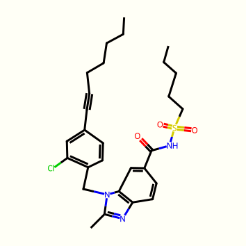 CCCCCC#Cc1ccc(Cn2c(C)nc3ccc(C(=O)NS(=O)(=O)CCCCC)cc32)c(Cl)c1